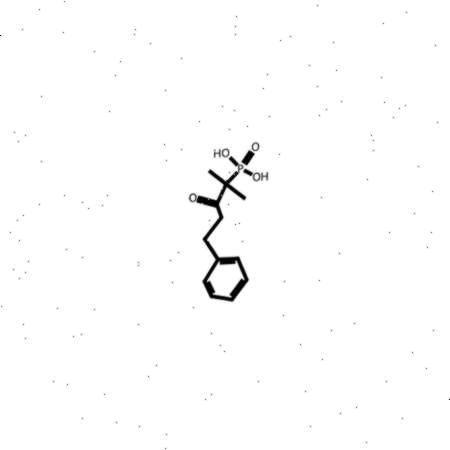 CC(C)(C(=O)CCc1ccccc1)P(=O)(O)O